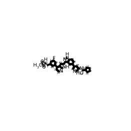 CS(=O)(=O)NCc1cc(F)cc(-c2ccnc3[nH]c(-c4n[nH]c5ccc(-c6cncc(NC(O)C7CCCC7)c6)cc45)cc23)c1